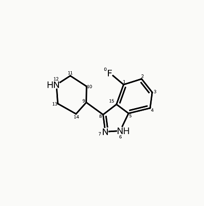 Fc1cccc2[nH]nc(C3CCNCC3)c12